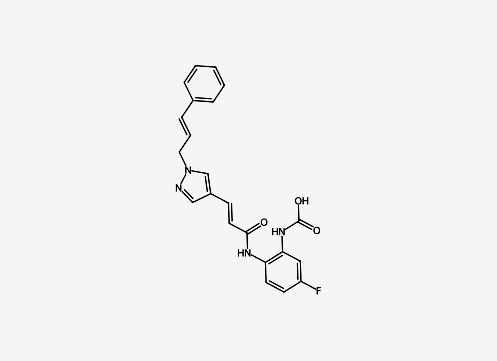 O=C(O)Nc1cc(F)ccc1NC(=O)/C=C/c1cnn(CC=Cc2ccccc2)c1